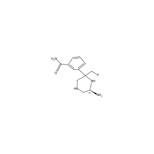 NC(=O)c1cccc(C2(CF)CNC[C@H](N)N2)c1